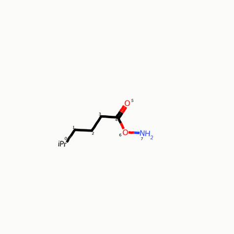 CC(C)CCCC(=O)ON